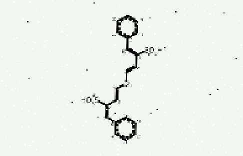 O=S(=O)(O)C(C=COC=CC(=Cc1ccccc1)S(=O)(=O)O)=Cc1ccccc1